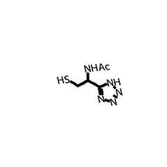 CC(=O)NC(CS)c1nnn[nH]1